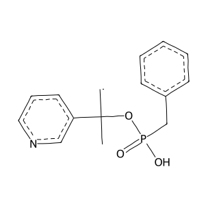 [CH2]C(C)(OP(=O)(O)Cc1ccccc1)c1cccnc1